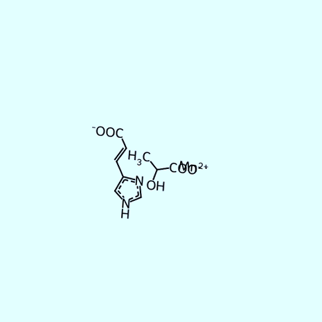 CC(O)C(=O)[O-].O=C([O-])C=Cc1c[nH]cn1.[Mn+2]